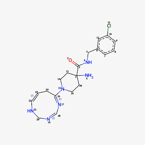 NC1(C(=O)NCc2cccc(Cl)c2)CCN(/C2=N/C=N\CN/C=C\C2)CC1